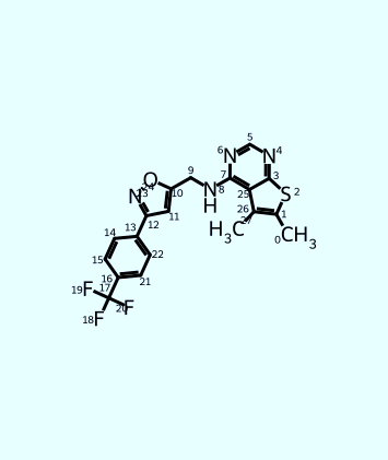 Cc1sc2ncnc(NCc3cc(-c4ccc(C(F)(F)F)cc4)no3)c2c1C